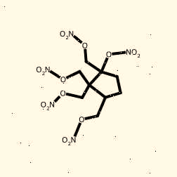 O=[N+]([O-])OCC1CCC(CO[N+](=O)[O-])(O[N+](=O)[O-])C1(CO[N+](=O)[O-])CO[N+](=O)[O-]